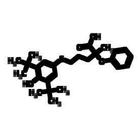 CC(CCCSc1cc(C(C)(C)C)c(O)c(C(C)(C)C)c1)(Oc1ccccc1)C(=O)O